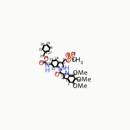 COc1cc2cc(C(=O)N3CC(COS(C)(=O)=O)c4ccc(NC(=O)OCc5ccccc5)cc43)[nH]c2c(OC)c1OC